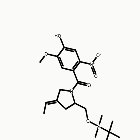 CC=C1CC(CO[Si](C)(C)C(C)(C)C)N(C(=O)c2cc(OC)c(O)cc2[N+](=O)[O-])C1